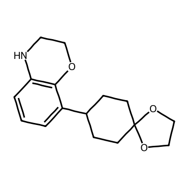 c1cc2c(c(C3CCC4(CC3)OCCO4)c1)OCCN2